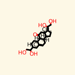 C[C@]12CCC(C(O)CO)CC1=CC[C@@H]1[C@H]2C(=O)C[C@]2(C)C(C(O)CO)CC[C@@H]12